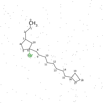 CCCC1CCC(Br)(CCCCCCCCC2CCC2)C1